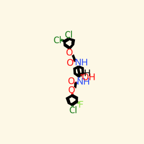 O=C(COc1ccc(Cl)c(Cl)c1)NC12CCC(NC(=O)COc3ccc(Cl)c(F)c3)(CC1)[C@@H](O)C2